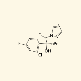 CCCC(O)(c1ccc(F)cc1Cl)C(F)n1cncn1